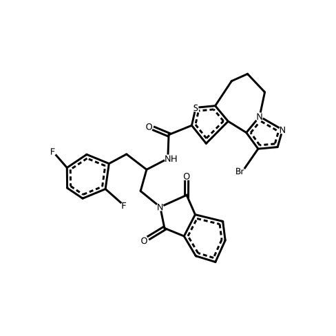 O=C(NC(Cc1cc(F)ccc1F)CN1C(=O)c2ccccc2C1=O)c1cc2c(s1)CCCn1ncc(Br)c1-2